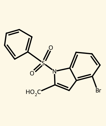 O=C(O)c1cc2c(Br)cccc2n1S(=O)(=O)c1ccccc1